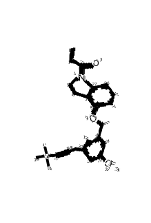 C=CC(=O)N1CCc2c(OCc3cc(C#C[Si](C)(C)C)cc(C(F)(F)F)c3)cccc21